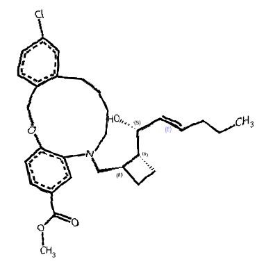 CCC/C=C/[C@@H](O)[C@@H]1CC[C@H]1CN1CCCCc2cc(Cl)ccc2COc2ccc(C(=O)OC)cc21